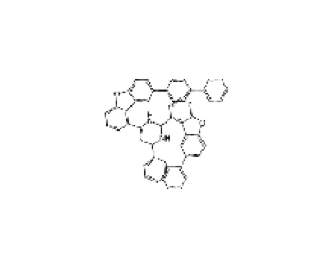 c1ccc(-c2ccc(-c3ccc4oc5cccc(C6=NC(c7ccccc7)NC(c7cccc8oc9ccc(-c%10ccccc%10)cc9c78)N6)c5c4c3)cc2)cc1